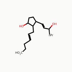 CCCC(O)/C=C/C1CCC(O)C1C/C=C/CCC(=O)O